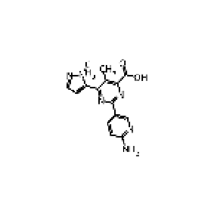 Cc1c(C(=O)O)nc(-c2ccc(N)nc2)nc1-c1ccnn1C